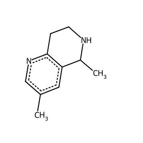 Cc1cnc2c(c1)C(C)NCC2